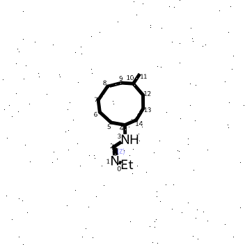 CC/N=C\NC1CCCCCC(C)CCC1